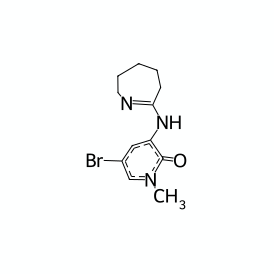 Cn1cc(Br)cc(NC2=NCCCCC2)c1=O